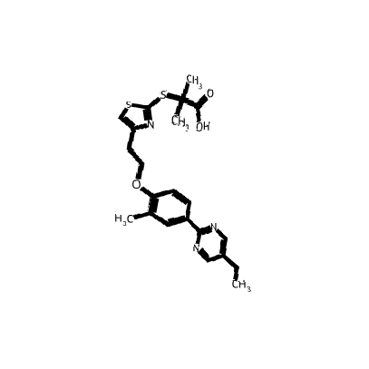 CCc1cnc(-c2ccc(OCCc3csc(SC(C)(C)C(=O)O)n3)c(C)c2)nc1